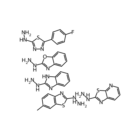 Cc1ccc2nc(NN)sc2c1.NNc1nc2ccccc2[nH]1.NNc1nc2ccccc2o1.NNc1nc2cccnc2s1.NNc1nnc(-c2ccc(F)cc2)s1